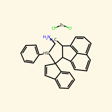 CC1c2cccc3cccc(c23)C1C1([SiH](CN)c2ccccc2)C=Cc2ccccc21.[Cl][Zr][Cl]